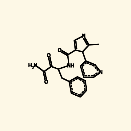 CC1=NC=C(C(=O)NC(Cc2ccccc2)C(=O)C(N)=O)C1c1cccnc1